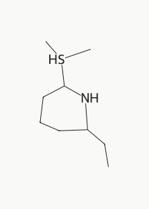 CCC1CCCC([SH](C)C)N1